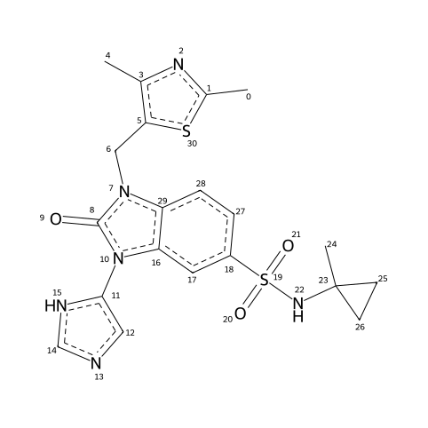 Cc1nc(C)c(Cn2c(=O)n(-c3cnc[nH]3)c3cc(S(=O)(=O)NC4(C)CC4)ccc32)s1